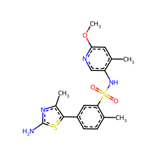 COc1cc(C)c(NS(=O)(=O)c2cc(-c3sc(N)nc3C)ccc2C)cn1